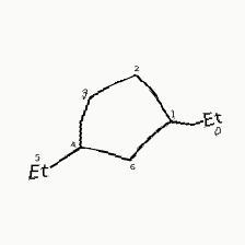 [CH2]CC1C[CH]C(CC)C1